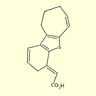 O=C(O)C=C1CC=Cc2c1sc1c2CCCC=C1